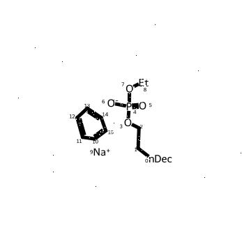 CCCCCCCCCCCCOP(=O)([O-])OCC.[Na+].c1ccccc1